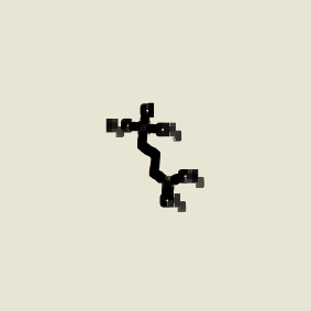 C[SiH](C)CCC[Si](C)(C)Cl